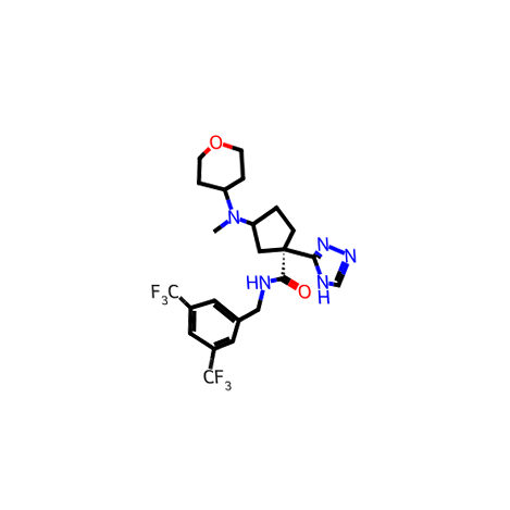 CN(C1CCOCC1)C1CC[C@@](C(=O)NCc2cc(C(F)(F)F)cc(C(F)(F)F)c2)(c2nnc[nH]2)C1